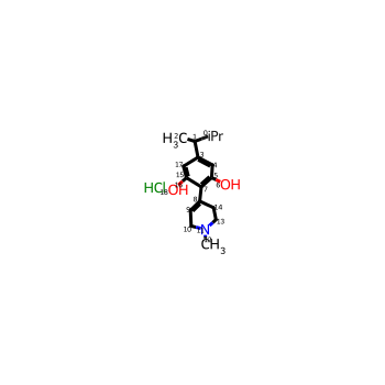 CC(C)C(C)c1cc(O)c(C2=CCN(C)CC2)c(O)c1.Cl